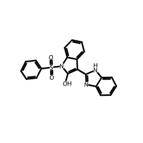 O=S(=O)(c1ccccc1)n1c(O)c(-c2nc3ccccc3[nH]2)c2ccccc21